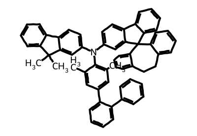 Cc1cc(-c2ccccc2-c2ccccc2)cc(C)c1N(c1ccc2c(c1)C(C)(C)c1ccccc1-2)c1ccc2c(c1)C1(c3ccccc3CCc3ccccc31)c1ccccc1-2